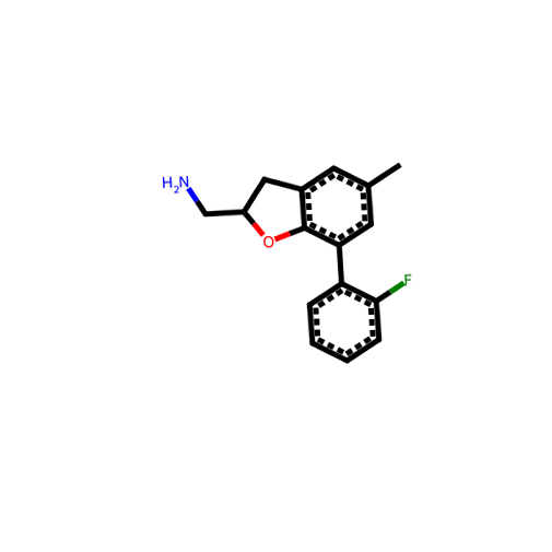 Cc1cc2c(c(-c3ccccc3F)c1)OC(CN)C2